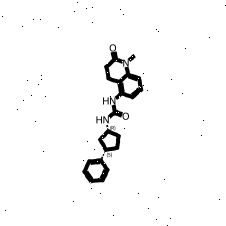 CN1C(=O)CCc2c(NC(=O)N[C@@H]3CC[C@H](c4ccccc4)C3)cccc21